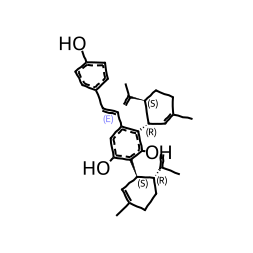 C=C(C)[C@H]1CCC(C)=C[C@@H]1c1c(/C=C/c2ccc(O)cc2)cc(O)c([C@@H]2C=C(C)CC[C@H]2C(=C)C)c1O